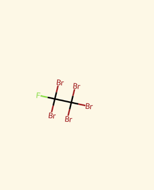 FC(Br)(Br)C(Br)(Br)Br